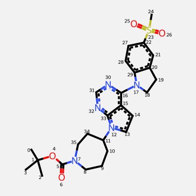 CC(C)(C)OC(=O)N1CCCC(n2ccc3c(N4CCc5cc(S(C)(=O)=O)ccc54)ncnc32)CC1